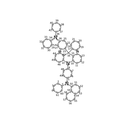 c1ccc(N(c2ccc(N3c4ccccc4C(c4ccccc4)(c4ccc5c(c4)c4ccccc4n5-c4ccccc4)c4ccccc43)cc2)c2cccc3ccccc23)cc1